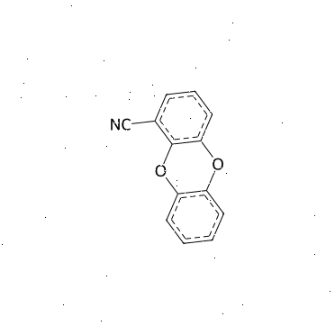 N#Cc1cccc2c1Oc1ccccc1O2